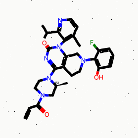 C=CC(=O)N1CCN(c2nc(=O)n(-c3c(C)ccnc3C(C)C)c3c2CCN(c2c(O)cccc2F)C3)[C@@H](C)C1